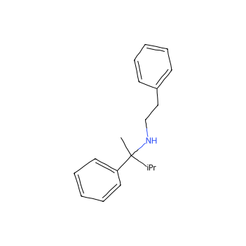 CC(C)C(C)(NCCc1ccccc1)c1ccccc1